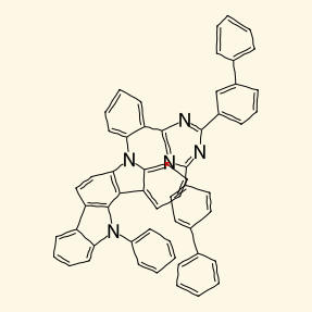 c1ccc(-c2ccc(-c3nc(-c4cccc(-c5ccccc5)c4)nc(-c4ccccc4-n4c5ccccc5c5c4ccc4c6ccccc6n(-c6ccccc6)c45)n3)cc2)cc1